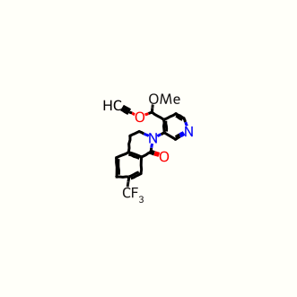 C#COC(OC)c1ccncc1N1CCc2ccc(C(F)(F)F)cc2C1=O